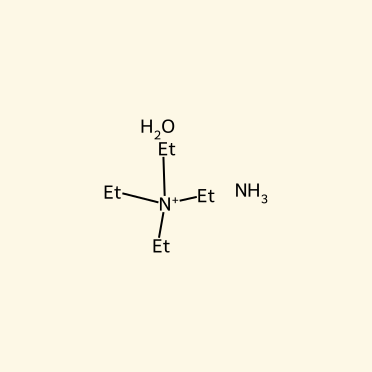 CC[N+](CC)(CC)CC.N.O